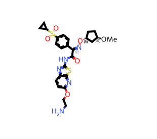 CO[C@@H]1CC[C@@H](O/N=C(/C(=O)Nc2nc3ccc(OCCN)nc3s2)c2ccc(S(=O)(=O)C3CC3)cc2)C1